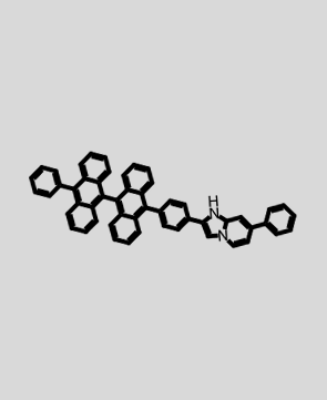 C1=CN2C=C(c3ccc(-c4c5ccccc5c(-c5c6ccccc6c(-c6ccccc6)c6ccccc56)c5ccccc45)cc3)NC2C=C1c1ccccc1